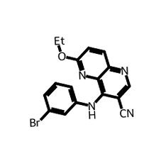 CCOc1ccc2ncc(C#N)c(Nc3cccc(Br)c3)c2n1